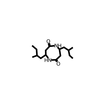 CCC(C)CC1CC(=O)NC(CC(C)CC)CC(=O)N1